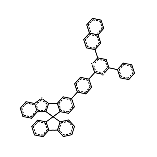 c1ccc(-c2cc(-c3ccc4ccccc4c3)nc(-c3ccc(-c4ccc5c(c4)-c4sc6ccccc6c4C54c5ccccc5-c5ccccc54)cc3)n2)cc1